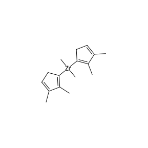 CC1=CC[C]([Zr]([CH3])([CH3])[C]2=C(C)C(C)=CC2)=C1C